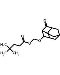 CC(C)(C)CCC(=O)OCOC1C2CC3CC(C2)C(=O)C1C3